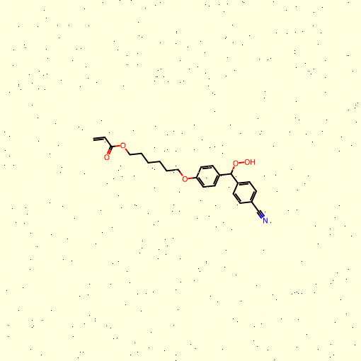 C=CC(=O)OCCCCCCOc1ccc(C(OO)c2ccc(C#N)cc2)cc1